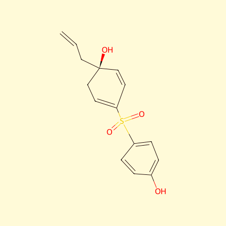 C=CC[C@]1(O)C=CC(S(=O)(=O)c2ccc(O)cc2)=CC1